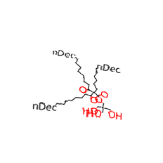 CCCCCCCCCCCCCCCCCC(=O)C(CCCCCCCCCCCCCCCC)(C(=O)CCCCCCCCCCCCCCCCC)C(=O)OCC(CO)(CO)CO